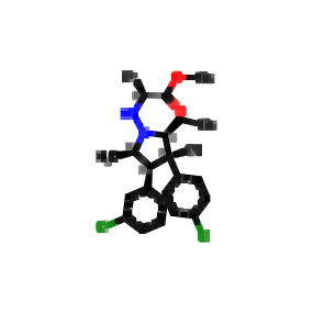 CC(C)[C@H](NN1[C@H](C)[C@H](c2cccc(Cl)c2)[C@@](C#N)(c2ccc(Cl)cc2)[C@@H]1CC(C)(C)C)C(=O)OC(C)(C)C